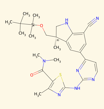 Cc1nc(Nc2nccc(-c3cc(C#N)c4c(c3)[C@@](C)(CO[Si](C)(C)C(C)(C)C)CN4)n2)sc1C(=O)N(C)C